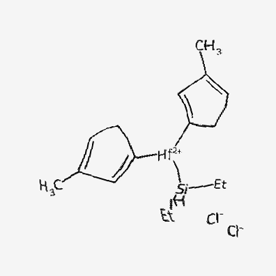 CC[SiH](CC)[Hf+2]([C]1=CC(C)=CC1)[C]1=CC(C)=CC1.[Cl-].[Cl-]